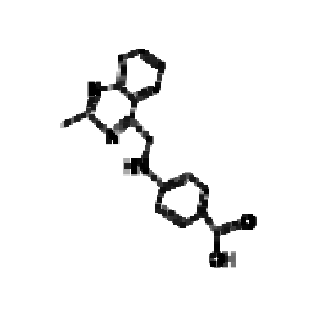 Cc1nc(CNc2ccc(C(=O)O)cc2)c2ccccc2n1